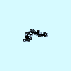 COC(=O)c1cccc(C(=O)N2CCC(CCCCNC(=O)/C=C/c3cccnc3)C([N+](=O)[O-])C2)c1